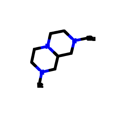 CCN1CCN2CCN(C(C)(C)C)CC2C1